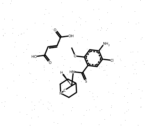 COc1cc(N)c(Cl)cc1C(=S)N[C@H]1CN2CCC1CC2.O=C(O)/C=C/C(=O)O